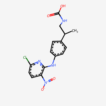 CC(CNC(=O)O)c1ccc(Nc2nc(Cl)ccc2[N+](=O)[O-])cc1